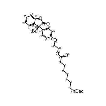 CCCCCCCCCCCCCCCCCC(=O)OCCOc1ccc(C2(C(C)(C)C)C(=O)Oc3ccccc32)cc1